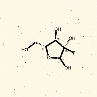 OC[C@H]1OC(O)[C@](O)(F)[C@@H]1O